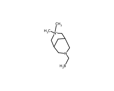 BCN1CC2CC(C1)C[N+](C)(C)C2